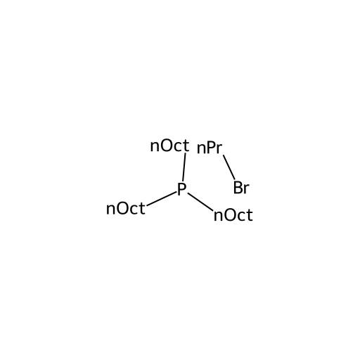 CCCBr.CCCCCCCCP(CCCCCCCC)CCCCCCCC